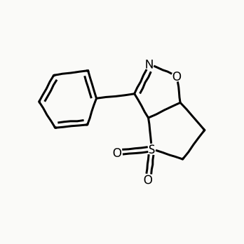 O=S1(=O)CCC2ON=C(c3ccccc3)C21